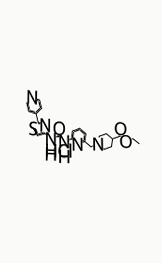 CCOC(=O)C1CCN(Cc2cccc(NC(=O)Nc3csc(-c4ccncc4)n3)n2)CC1.Cl